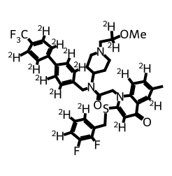 [2H]c1c([2H])c(F)c(F)c(CSc2c([2H])c(=O)c3c([2H])c(C)c([2H])c([2H])c3n2CC(=O)N(Cc2c([2H])c([2H])c(-c3c([2H])c([2H])c(C(F)(F)F)c([2H])c3[2H])c([2H])c2[2H])C2CCN(CC([2H])([2H])OC)CC2)c1[2H]